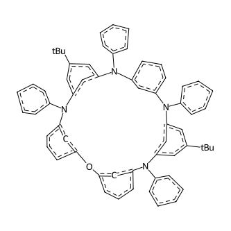 CC(C)(C)c1cc2cc(c1)N(c1ccccc1)c1cccc(c1)N(c1ccccc1)c1cc(cc(C(C)(C)C)c1)N(c1ccccc1)c1cccc(c1)Oc1cccc(c1)N2c1ccccc1